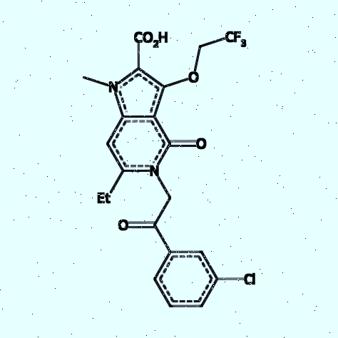 CCc1cc2c(c(OCC(F)(F)F)c(C(=O)O)n2C)c(=O)n1CC(=O)c1cccc(Cl)c1